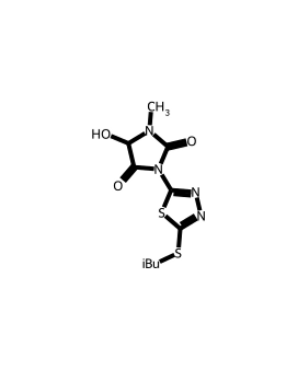 CCC(C)Sc1nnc(N2C(=O)C(O)N(C)C2=O)s1